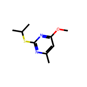 COc1cc(C)nc(SC(C)C)n1